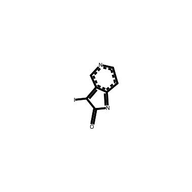 O=C1N=c2ccncc2=C1I